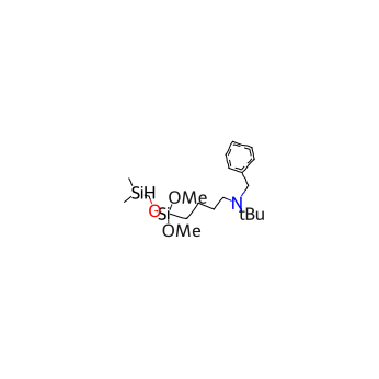 CO[Si](CCCCN(Cc1ccccc1)C(C)(C)C)(OC)OC[SiH](C)C